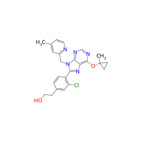 Cc1ccnc(Cn2c(-c3ccc(CCO)cc3Cl)nc3c(OC4(C)CC4)ncnc32)c1